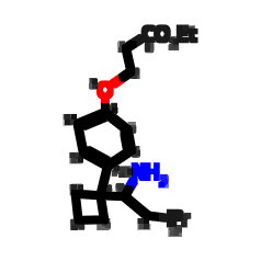 CCOC(=O)CCOc1ccc(C2(C(N)CC(C)C)CCC2)cc1